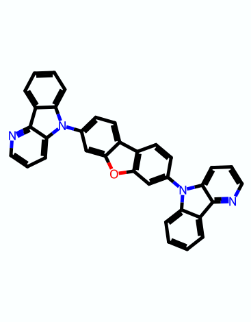 c1ccc2c(c1)c1ncccc1n2-c1ccc2c(c1)oc1cc(-n3c4ccccc4c4ncccc43)ccc12